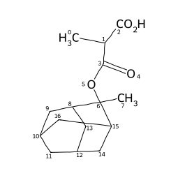 CC(C(=O)O)C(=O)OC1(C)C2CC3CC(C2)CC1C3